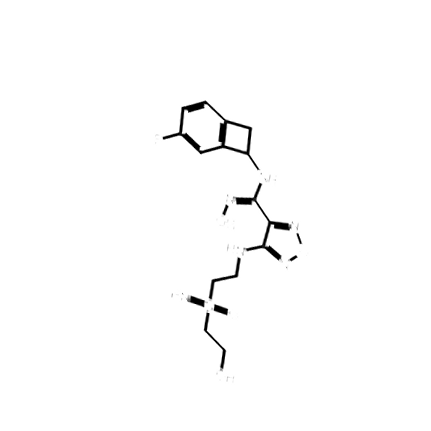 N=S(=O)(CCO)CCNc1nonc1C(=NO)NC1Cc2ccc(F)cc21